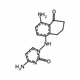 Nc1ccn(Nc2ccc(N)c3c2CCCC3=O)c(=O)n1